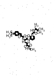 C=C(NC(=O)Cn1cccc(NC(=O)[C@H](CCC(=O)C(=O)NC)NC(=O)c2cc3ccc(N(C)C)cc3o2)c1=O)C(C)C